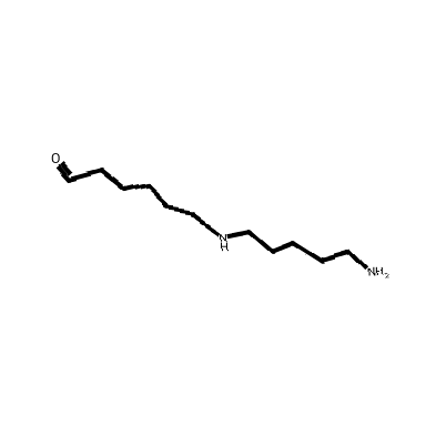 NCCCCCNCCCCCC=O